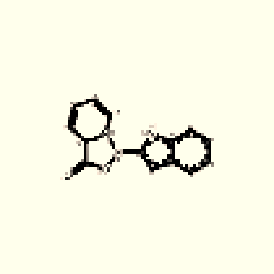 O=C1ON(c2cc3ccccc3[nH]2)N2C=CC=CC12